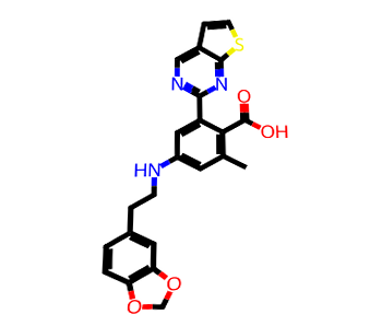 Cc1cc(NCCc2ccc3c(c2)OCO3)cc(-c2ncc3ccsc3n2)c1C(=O)O